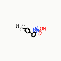 Cc1ccc(-c2cccc3c2nnn3C(=O)O)cc1